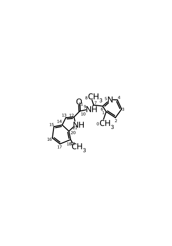 Cc1cccnc1C(C)NC(=O)c1cc2cccc(C)c2[nH]1